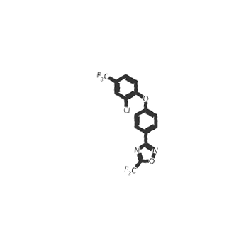 FC(F)(F)c1ccc(Oc2ccc(-c3noc(C(F)(F)F)n3)cc2)c(Cl)c1